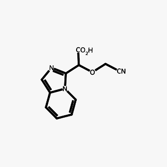 N#CCOC(C(=O)O)c1ncc2ccccn12